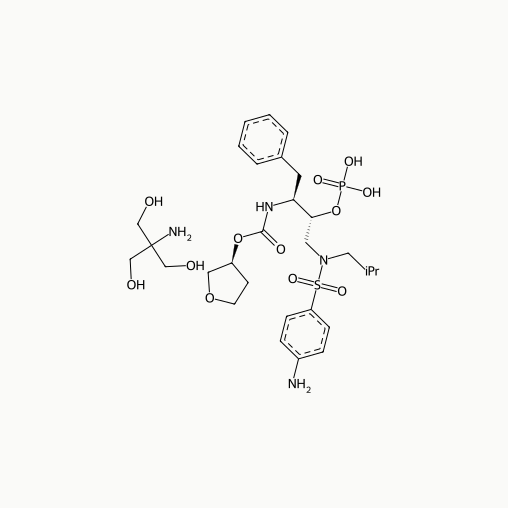 CC(C)CN(C[C@@H](OP(=O)(O)O)[C@H](Cc1ccccc1)NC(=O)O[C@H]1CCOC1)S(=O)(=O)c1ccc(N)cc1.NC(CO)(CO)CO